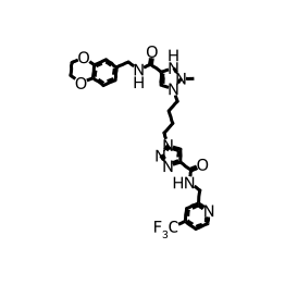 CN1NC(C(=O)NCc2ccc3c(c2)OCCO3)=CN1CCCCn1cc(C(=O)NCc2cc(C(F)(F)F)ccn2)nn1